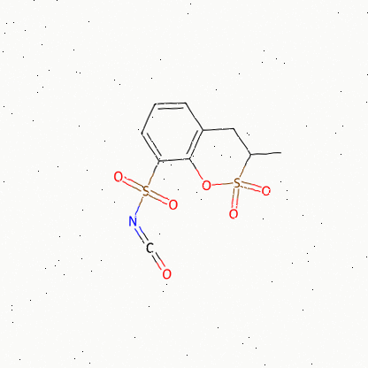 CC1Cc2cccc(S(=O)(=O)N=C=O)c2OS1(=O)=O